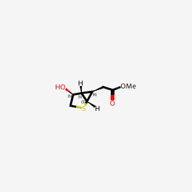 COC(=O)C[C@H]1[C@@H]2SC[C@@H](O)[C@H]12